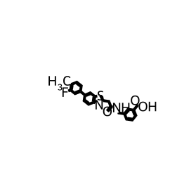 Cc1ccc(-c2ccc3nc(CC(=O)NCc4cccc(C(=O)O)c4)sc3c2)cc1F